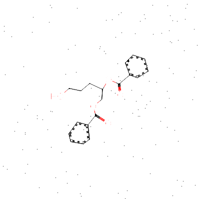 O=C(OCC(CCCO)OC(=O)c1ccccc1)c1ccccc1